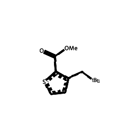 COC(=O)c1sccc1CC(C)(C)C